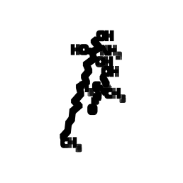 CCCCCCCCCCCCCCC(O)C(O)C(N)CO.C[N+](C)(C#P=O)CCO